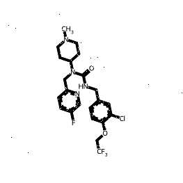 CN1CCC(N(Cc2ccc(F)cn2)C(=O)NCc2ccc(OCC(F)(F)F)c(Cl)c2)CC1